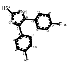 Fc1ccc(-c2nc(S)[nH]c2-c2ccc(F)cc2)cc1